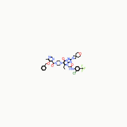 CCc1c(N2CCN(C(=O)c3ncnc(C)c3OCc3ccccc3)CC2)c(=O)n2nc(N3CC4(CCOCC4)C3)nc2n1CC(=O)Nc1ccc(C(F)(F)F)cc1Cl